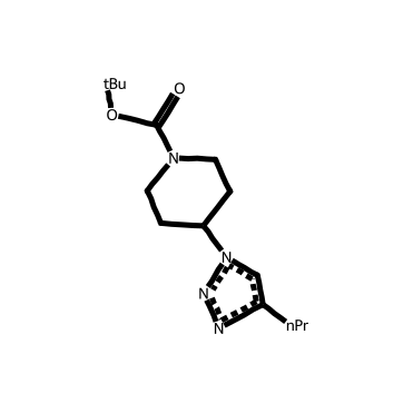 CCCc1cn(C2CCN(C(=O)OC(C)(C)C)CC2)nn1